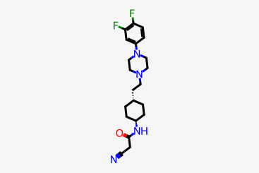 N#CCC(=O)N[C@H]1CC[C@H](CCN2CCN(c3ccc(F)c(F)c3)CC2)CC1